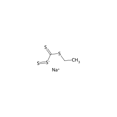 CCSC(=S)[S-]=S.[Na+]